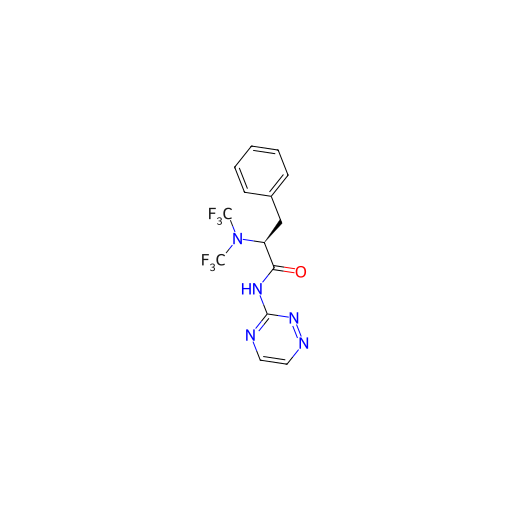 O=C(Nc1nccnn1)[C@H](Cc1ccccc1)N(C(F)(F)F)C(F)(F)F